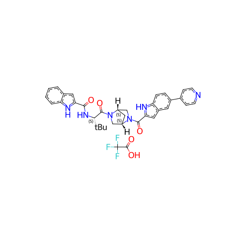 CC(C)(C)[C@H](NC(=O)c1cc2ccccc2[nH]1)C(=O)N1C[C@@H]2C[C@H]1CN2C(=O)c1cc2cc(-c3ccncc3)ccc2[nH]1.O=C(O)C(F)(F)F